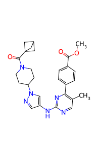 COC(=O)c1ccc(-c2nc(Nc3cnn(C4CCN(C(=O)C56CC(C5)C6)CC4)c3)ncc2C)cc1